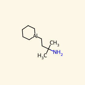 CC(C)(N)C[CH2][Al]1[CH2]CCC[CH2]1